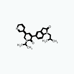 CC(C)CN1C(=O)Cc2cc(C3=CC(=C4C=CCN=C4)CN(C(C)C)C3=O)ccc21